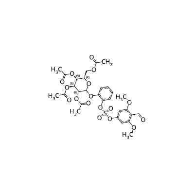 COc1cc(OS(=O)(=O)Oc2ccccc2OC2O[C@H](COC(C)=O)[C@H](OC(C)=O)[C@H](OC(C)=O)[C@H]2OC(C)=O)cc(OC)c1C=O